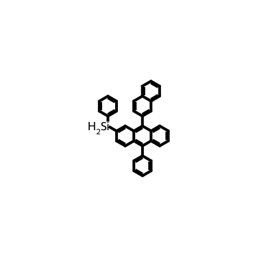 c1ccc([SiH2]c2ccc3c(-c4ccccc4)c4ccccc4c(-c4ccc5ccccc5c4)c3c2)cc1